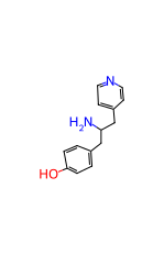 NC(Cc1ccncc1)Cc1ccc(O)cc1